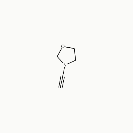 C#CN1CCOC1